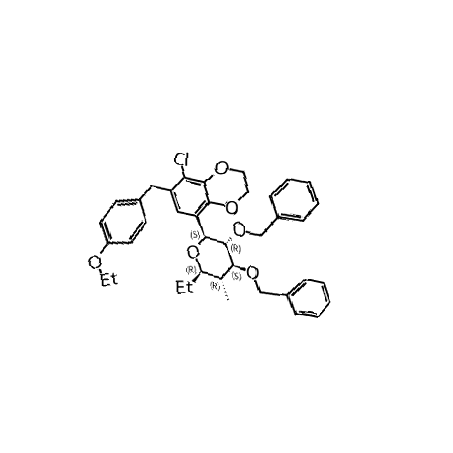 CCOc1ccc(Cc2cc([C@@H]3O[C@H](CC)[C@@H](C)[C@H](OCc4ccccc4)[C@H]3OCc3ccccc3)c3c(c2Cl)OCCO3)cc1